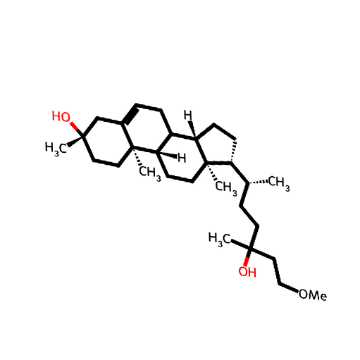 COCCC(C)(O)CC[C@@H](C)[C@H]1CC[C@H]2C3CC=C4C[C@@](C)(O)CC[C@]4(C)[C@H]3CC[C@]12C